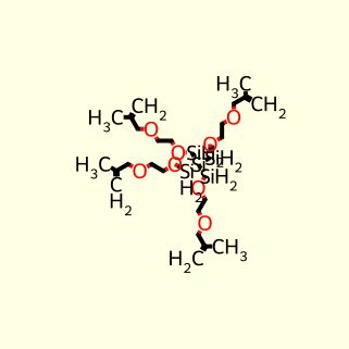 C=C(C)COCCO[SiH2][Si]([SiH2]OCCOCC(=C)C)([SiH2]OCCOCC(=C)C)[SiH2]OCCOCC(=C)C